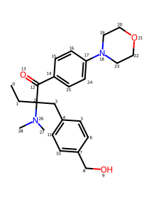 CCC(Cc1ccc(CO)cc1)(C(=O)c1ccc(N2CCOCC2)cc1)N(C)C